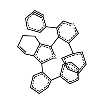 c1cccc(-c2cncc(-c3ccccc3)c2-c2sc(-c3ccccc3-c3ccccc3)c3c2CCC=C3)c#1